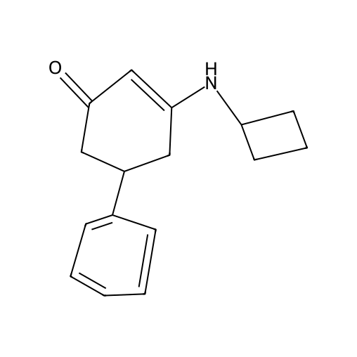 O=C1C=C(NC2CCC2)CC(c2ccccc2)C1